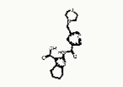 O=C(Nc1sc2c(c1C(=O)O)CCCC2)c1cccc(CN2CCOCC2)c1